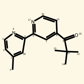 Cc1ccnc(-c2cc(C(=O)C(C)(C)C)ccn2)c1